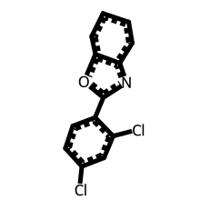 Clc1ccc(-c2nc3ccccc3o2)c(Cl)c1